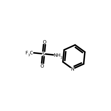 NS(=O)(=O)C(F)(F)F.c1ccncc1